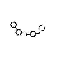 CN1CCN(Cc2ccc(C(=O)Nc3cc(-c4ccccc4)ccc3O)cc2)CC1